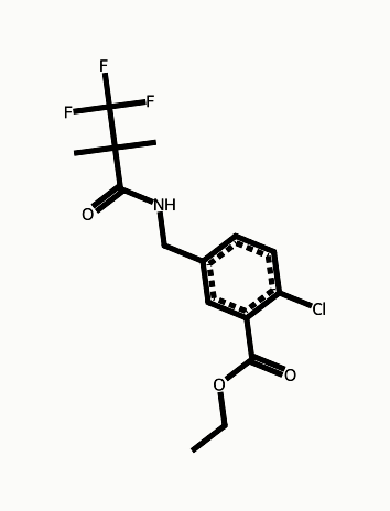 CCOC(=O)c1cc(CNC(=O)C(C)(C)C(F)(F)F)ccc1Cl